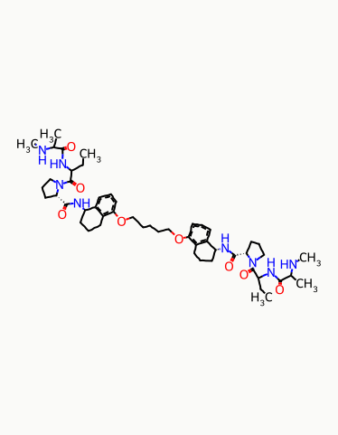 CCC(NC(=O)C(C)NC)C(=O)N1CCC[C@H]1C(=O)N[C@@H]1CCCc2c(OCCCCCOc3cccc4c3CCC[C@H]4NC(=O)[C@@H]3CCCN3C(=O)C(CC)NC(=O)C(C)NC)cccc21